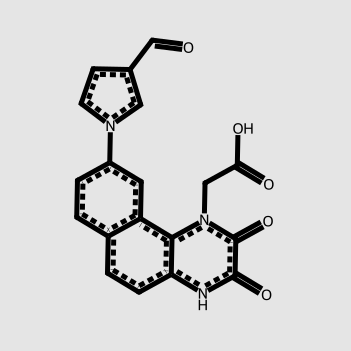 O=Cc1ccn(-c2ccc3ccc4[nH]c(=O)c(=O)n(CC(=O)O)c4c3c2)c1